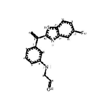 C=C(c1cccc(NC[C]=O)c1)c1nc2cc(F)ccc2s1